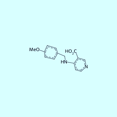 COc1ccc(CNc2ccncc2C(=O)O)cc1